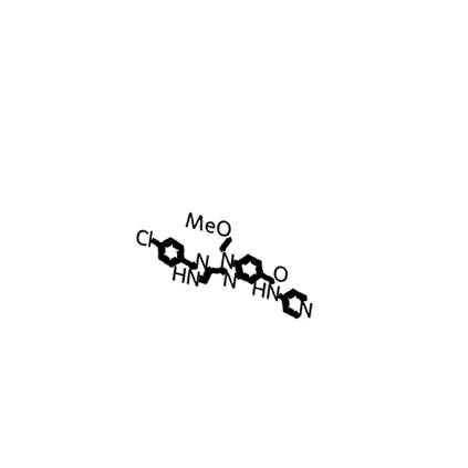 COCCn1c(-c2c[nH]c(-c3ccc(Cl)cc3)n2)nc2cc(C(=O)Nc3ccncc3)ccc21